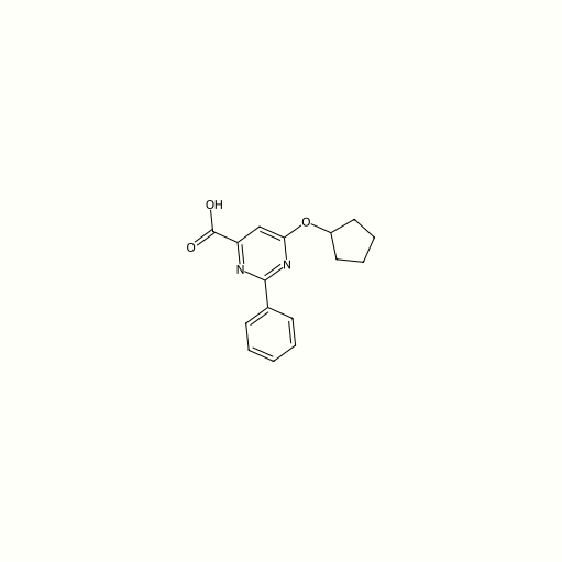 O=C(O)c1cc(OC2CCCC2)nc(-c2ccccc2)n1